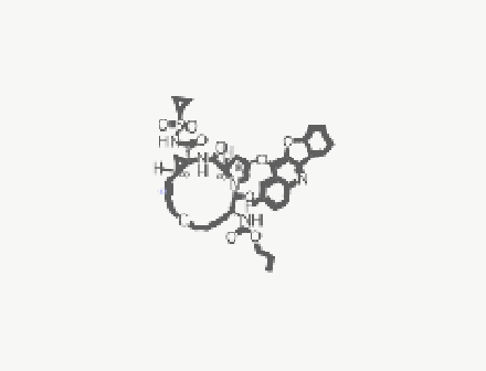 C=CCOC(=O)N[C@H]1CCCCC/C=C\[C@@H]2C[C@@]2(C(=O)NS(=O)(=O)C2CC2)NC(=O)[C@@H]2C[C@@H](Oc3c4cc(F)ccc4nc4c3oc3ccccc34)CN2C1=O